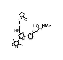 CNCC(O)COc1cccc(-c2nc(NCCCCN3CCCC3=O)cc(-c3c(C)noc3C)n2)c1